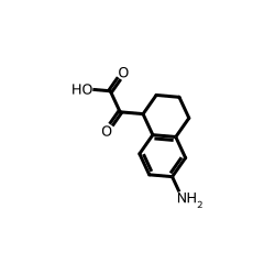 Nc1ccc2c(c1)CCCC2C(=O)C(=O)O